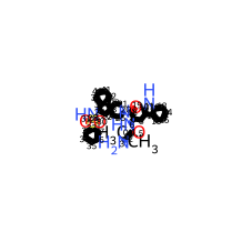 CC(C)(N)C(=O)NC(Cc1c[nH]c2ccccc12)C(=O)N1CCC2(CC1)C[C@@H](NS(=O)(=O)c1ccccc1)c1ccccc12